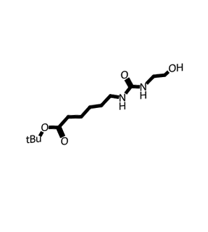 CC(C)(C)OC(=O)CCCCCNC(=O)NCCO